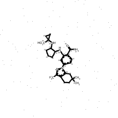 CC1(C)CCc2c(C(F)(F)F)nn(-c3ccc(C(N)=O)c(NC4CCCC4NC4(C(=O)O)CC4)c3)c2C1